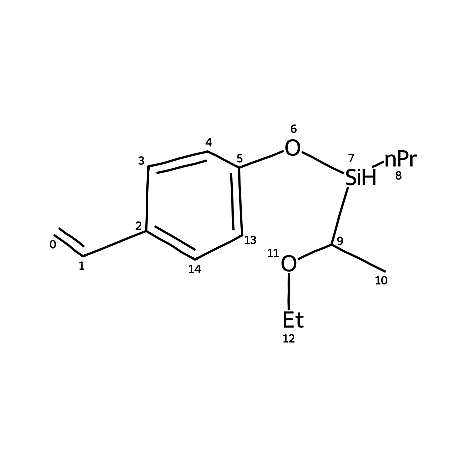 C=Cc1ccc(O[SiH](CCC)C(C)OCC)cc1